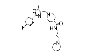 Cc1oc(-c2ccc(F)cc2)nc1CN1CCC(C(=O)NCCCN2CCCCC2)CC1